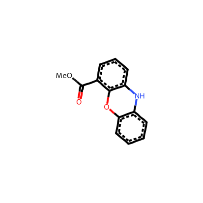 COC(=O)c1cccc2c1Oc1ccccc1N2